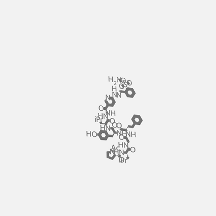 CC(=O)N1CCC[C@H]1C(=O)N[C@@H](CC(C)C)C(=O)NCC(=O)N[C@@H](CCc1ccccc1)C(=O)N[C@@H](Cc1ccc(O)cc1)C(=O)N[C@@H](CC(C)C)C(=O)NNC(=O)c1ccc(N/N=C/c2ccccc2S(=O)(=O)ON)nc1